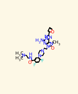 CN(C)CCNC(=O)c1cc(N2CCN(CCn3c(=O)n(C)c4c3nc(N)n3nc(-c5ccco5)nc43)CC2)c(F)cc1F